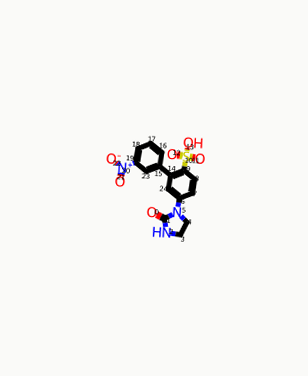 O=C1NCCN1c1ccc(S(=O)(=O)O)c(-c2cccc([N+](=O)[O-])c2)c1